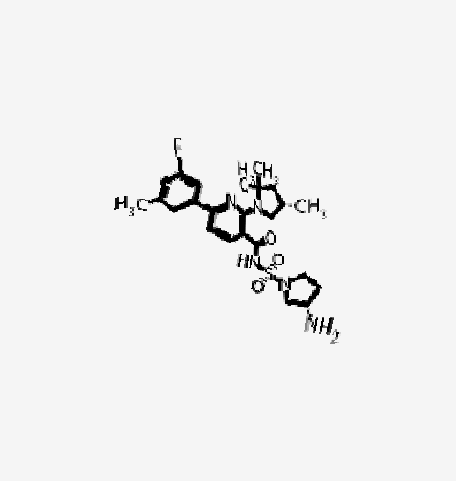 Cc1cc(F)cc(-c2ccc(C(=O)NS(=O)(=O)N3CC[C@H](N)C3)c(N3C[C@@H](C)CC3(C)C)n2)c1